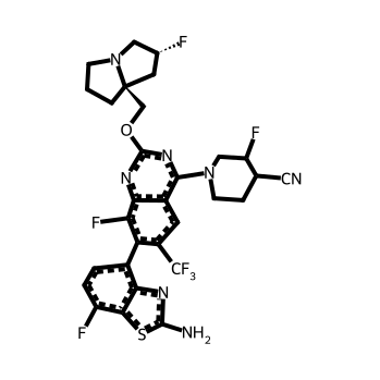 N#CC1CCN(c2nc(OC[C@@]34CCCN3C[C@H](F)C4)nc3c(F)c(-c4ccc(F)c5sc(N)nc45)c(C(F)(F)F)cc23)CC1F